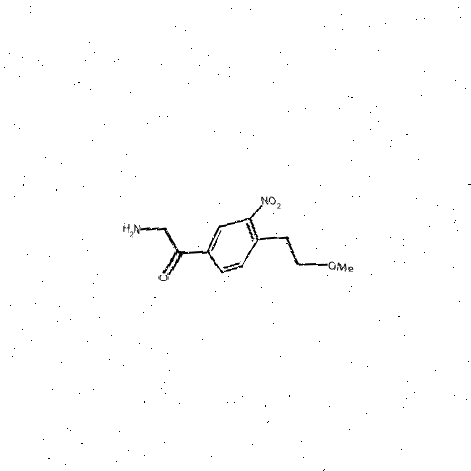 COCCc1ccc(C(=O)CN)cc1[N+](=O)[O-]